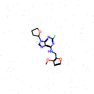 COc1ccoc1CNc1nc(F)nc2c1ncn2C1CCCO1